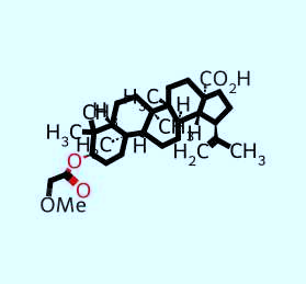 C=C(C)[C@@H]1CC[C@]2(C(=O)O)CC[C@]3(C)[C@H](CC[C@@H]4[C@@]5(C)CC[C@H](OC(=O)COC)C(C)(C)[C@@H]5CC[C@]43C)[C@@H]12